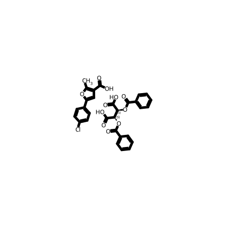 Cc1oc(-c2ccc(Cl)cc2)cc1C(=O)O.O=C(O[C@H](C(=O)O)[C@H](OC(=O)c1ccccc1)C(=O)O)c1ccccc1